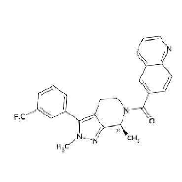 C[C@H]1c2nn(C)c(-c3cccc(C(F)(F)F)c3)c2CCN1C(=O)c1ccc2ncccc2c1